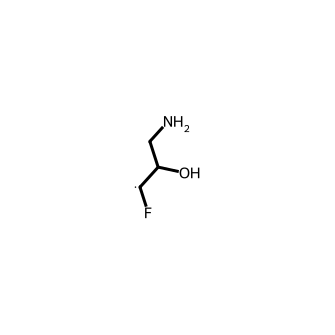 NCC(O)[CH]F